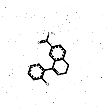 COC(=O)c1ccc2c(c1)C(c1ccccc1Cl)=CCC2